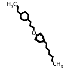 CCCCCCCc1ccc(OCCCC2CCC(CCC)CC2)cc1